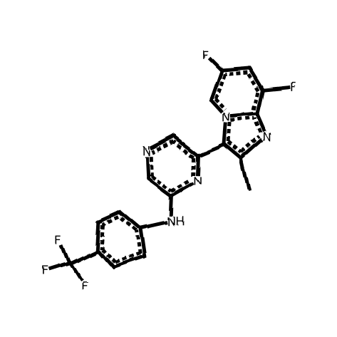 Cc1nc2c(F)cc(F)cn2c1-c1cncc(Nc2ccc(C(F)(F)F)cc2)n1